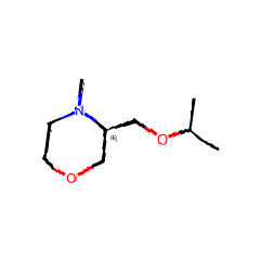 CC(C)OC[C@H]1COCCN1C